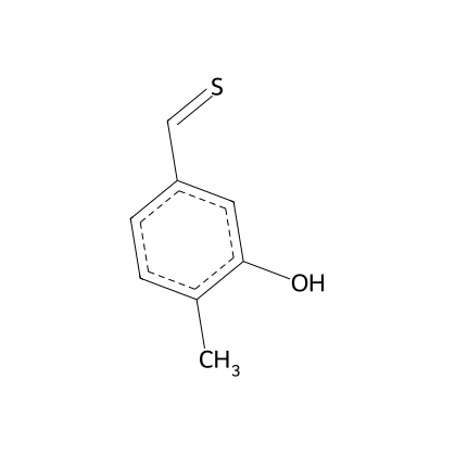 Cc1ccc(C=S)cc1O